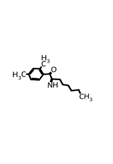 CCCCCCC(=N)C(=O)c1ccc(C)cc1C